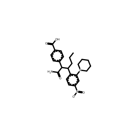 CCCC(c1ccc([N+](=O)[O-])cc1N1CCCCC1)C(C(N)=O)c1ccc(C(=O)O)cc1